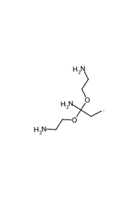 [CH2]CC(N)(OCCN)OCCN